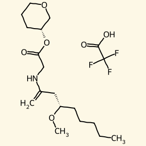 C=C(C[C@H](CCCCC)OC)NCC(=O)O[C@@H]1CCCOC1.O=C(O)C(F)(F)F